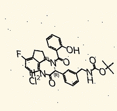 CC(C)(C)OC(=O)NCc1cccc([C@H](C(N)=O)N(C(=O)c2ccccc2O)[C@@H]2CCc3c(F)cc(Cl)cc32)c1